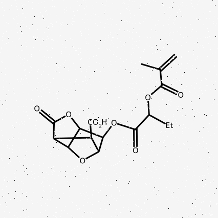 C=C(C)C(=O)OC(CC)C(=O)OC1C2OC(=O)C3C2OC1C3C(=O)O